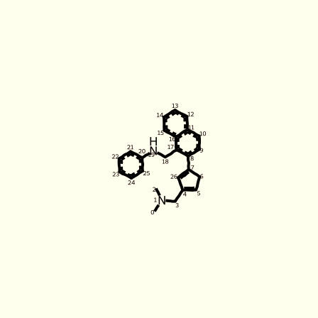 CN(C)CC1=CCC(c2ccc3ccccc3c2CNc2ccccc2)=C1